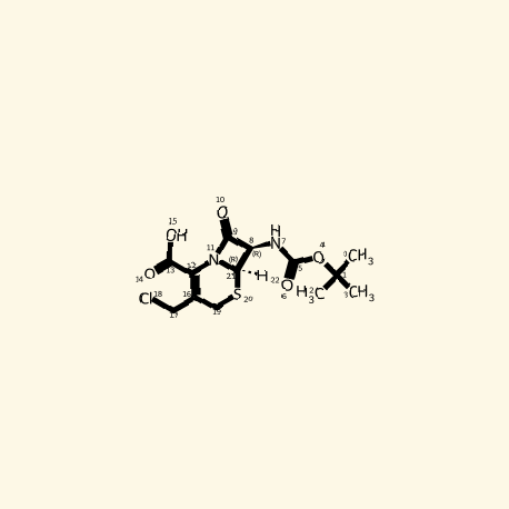 CC(C)(C)OC(=O)N[C@@H]1C(=O)N2C(C(=O)O)=C(CCl)CS[C@H]12